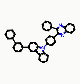 c1ccc(-c2cccc(-c3ccc4c(c3)c3ccccc3n4-c3ccc(-c4nc5ccccc5nc4-c4ccccc4)cc3)c2)cc1